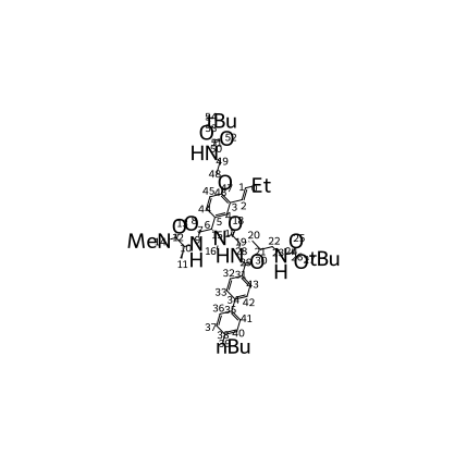 CC/C=C/c1cc([C@@H](C(=O)N[C@@H](C)C(=O)NC)N(C)C(=O)[C@H](CCCNC(=O)OC(C)(C)C)NC(=O)c2ccc(-c3ccc(CCCC)cc3)cc2)ccc1OCCNC(=O)OC(C)(C)C